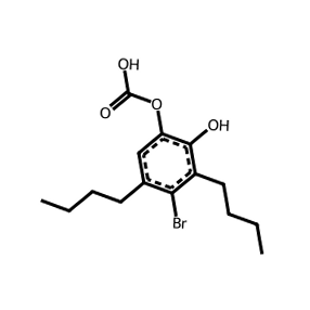 CCCCc1cc(OC(=O)O)c(O)c(CCCC)c1Br